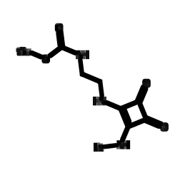 CCNc1c(NCCNC(=O)OC(C)(C)C)c(=O)c1=O